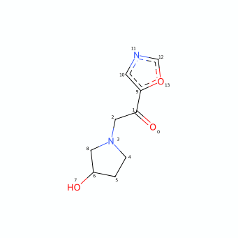 O=C(CN1CCC(O)C1)c1cnco1